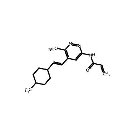 C=CC(=O)Nc1cc(C=CC2CCC(C(F)(F)F)CC2)c(OC)nn1